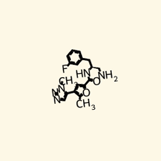 Cc1oc(C(=O)N[C@H](CN)Cc2cccc(F)c2)cc1-c1cnnn1C